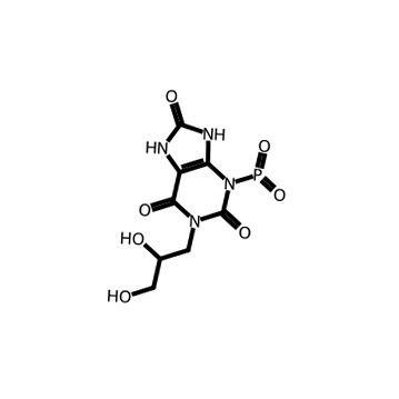 O=c1[nH]c2c(=O)n(CC(O)CO)c(=O)n(P(=O)=O)c2[nH]1